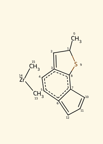 CC1C=c2ccc3c(c2S1)C=CC=3.[CH3][Zr][CH3]